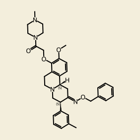 COc1ccc2c(c1OCC(=O)N1CCN(C)CC1)CCN1C[C@H](c3cccc(C)c3)C(=NOCc3ccccc3)C[C@@H]21